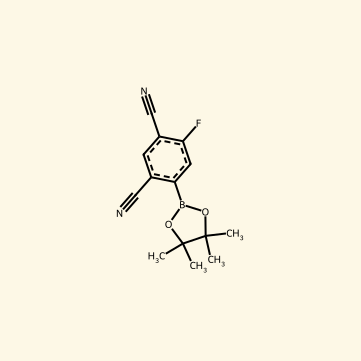 CC1(C)OB(c2cc(F)c(C#N)cc2C#N)OC1(C)C